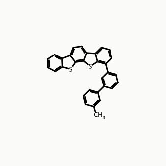 Cc1cccc(-c2cccc(-c3cccc4c3sc3c4ccc4c5ccccc5sc43)c2)c1